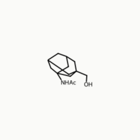 CC(=O)NC12CC3CC(CC(CO)(C3)C1)C2